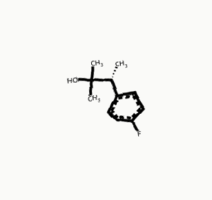 C[C@H](c1ccc(F)cc1)C(C)(C)O